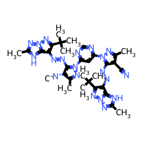 [C-]#[N+]c1c(C)nn(-c2cc(-n3nc(C)c(C#N)c3/N=N/c3c(C(C)(C)C)nn4nc(C)[nH]c34)ncn2)c1/N=N/c1c(C(C)(C)C)nn2nc(C)[nH]c12